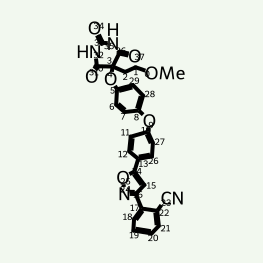 COCCC1(Oc2ccc(Oc3ccc(-c4cc(-c5ccccc5C#N)no4)cc3)cc2)C(=O)NC(=O)NC1=O